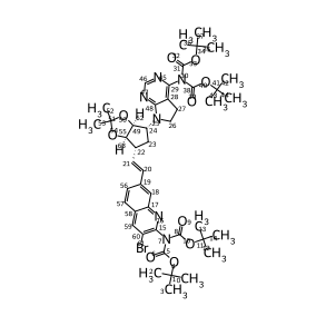 CC(C)(C)OC(=O)N(C(=O)OC(C)(C)C)c1nc2cc(/C=C/[C@H]3C[C@@H](N4CCc5c(N(C(=O)OC(C)(C)C)C(=O)OC(C)(C)C)ncnc54)[C@@H]4OC(C)(C)O[C@@H]43)ccc2cc1Br